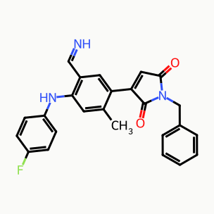 Cc1cc(Nc2ccc(F)cc2)c(C=N)cc1C1=CC(=O)N(Cc2ccccc2)C1=O